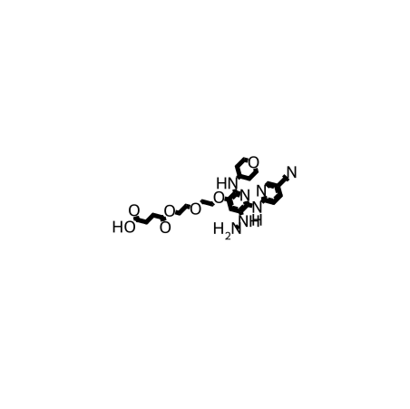 N#Cc1ccc(Nc2nc(NC3CCOCC3)c(OCCOCCOC(=O)CCC(=O)O)cc2NN)nc1